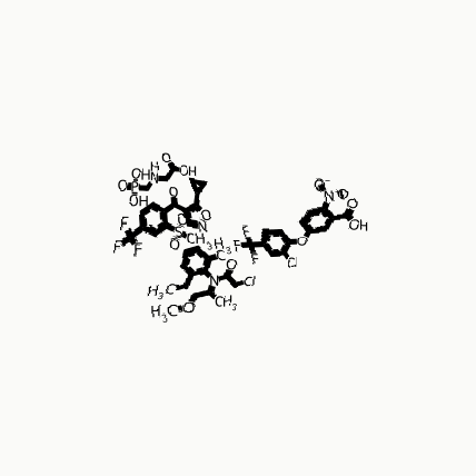 CCc1cccc(C)c1N(C(=O)CCl)C(C)COC.CS(=O)(=O)c1cc(C(F)(F)F)ccc1C(=O)c1cnoc1C1CC1.O=C(O)CNCP(=O)(O)O.O=C(O)c1cc(Oc2ccc(C(F)(F)F)cc2Cl)ccc1[N+](=O)[O-]